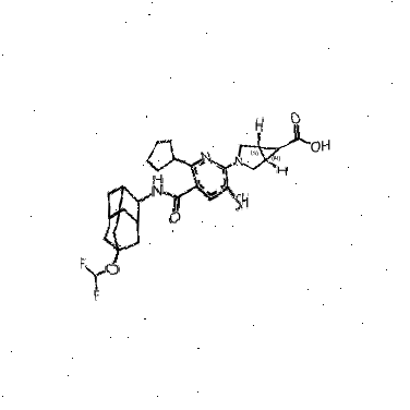 O=C(NC1C2CC3CC1CC(OC(F)F)(C3)C2)c1cc(S)c(N2C[C@@H]3C(C(=O)O)[C@@H]3C2)nc1C1CCCC1